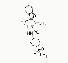 Cc1c([C@@H](C)NC(=O)NC2CCC(S(C)(=O)=O)CC2)oc2ccccc12